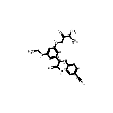 CCOc1cc(OCC(=O)C(C)C)cc([C@@H](Nc2ccc(C#N)cc2)C(=O)O)c1